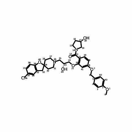 COc1ccc(COc2ccc(C(=O)N3CC[C@@H](O)C3)c(OC[C@H](O)CN3CCC4(CC3)Cc3cc(Cl)ccc3O4)c2)cc1